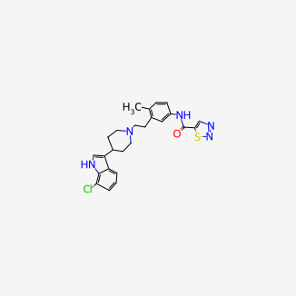 Cc1ccc(NC(=O)c2cnns2)cc1CCN1CCC(c2c[nH]c3c(Cl)cccc23)CC1